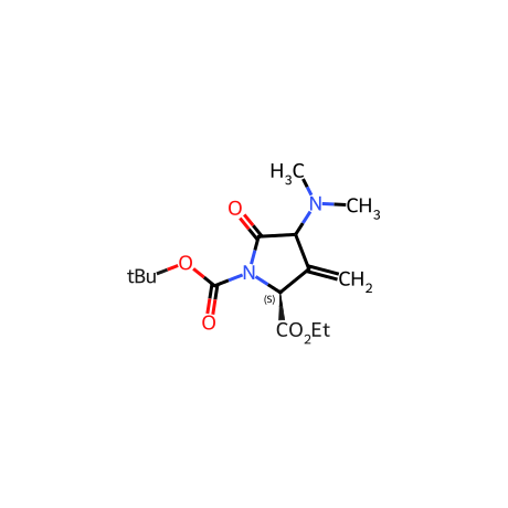 C=C1C(N(C)C)C(=O)N(C(=O)OC(C)(C)C)[C@@H]1C(=O)OCC